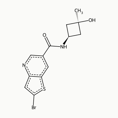 C[C@]1(O)C[C@@H](NC(=O)c2cnc3cc(Br)sc3c2)C1